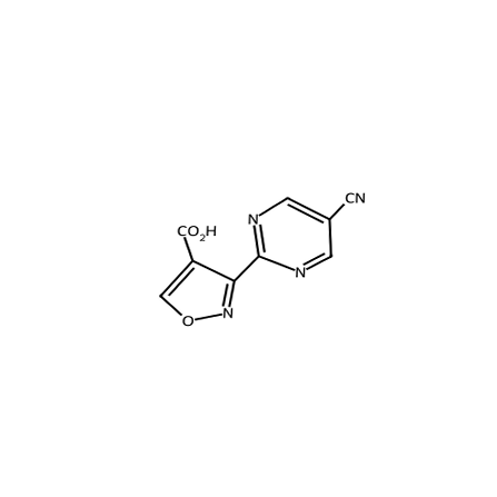 N#Cc1cnc(-c2nocc2C(=O)O)nc1